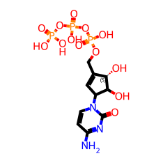 Nc1ccn(C2C=C(COP(=O)(O)OP(=O)(O)OP(=O)(O)O)[C@H](O)C2O)c(=O)n1